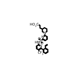 C=Cc1ccccc1-c1nc(NS(=O)(=O)c2cccc(N3CCCC(CCC(=O)O)C3)n2)ccc1C(F)(F)F